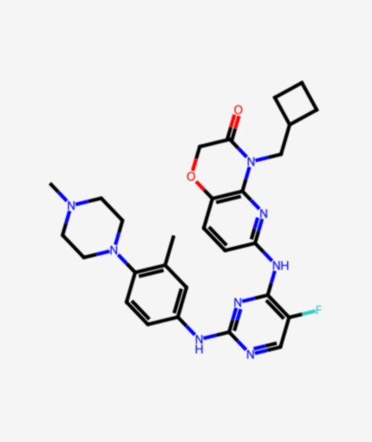 Cc1cc(Nc2ncc(F)c(Nc3ccc4c(n3)N(CC3CCC3)C(=O)CO4)n2)ccc1N1CCN(C)CC1